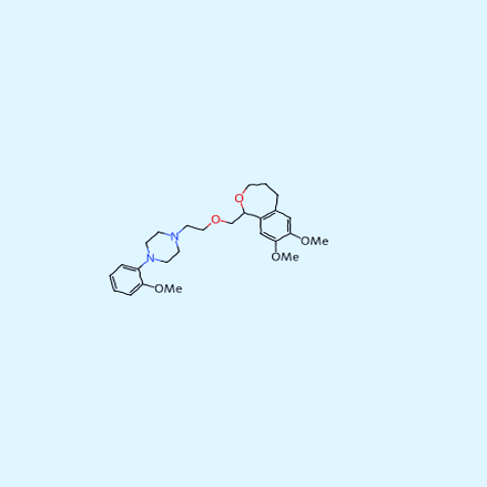 COc1cc2c(cc1OC)C(COCCN1CCN(c3ccccc3OC)CC1)OCCC2